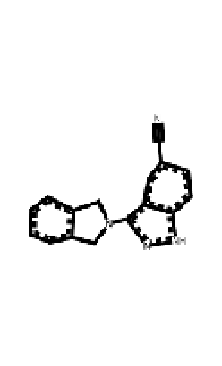 N#Cc1ccc2[nH]nc(N3Cc4ccccc4C3)c2c1